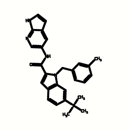 Cc1cccc(Cn2c(C(=O)Nc3cnc4[nH]ccc4c3)cc3ccc([Si](C)(C)C)cc32)c1